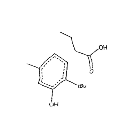 CCCC(=O)O.Cc1ccc(C(C)(C)C)c(O)c1